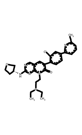 CCN(CC)CCn1c(=O)c(-c2ccc(-c3cccc(C)n3)cc2Cl)cc2cnc(N[C@@H]3CCOC3)nc21